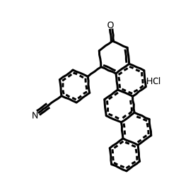 Cl.N#Cc1ccc(C2=c3c(ccc4c3ccc3c5ccccc5ccc43)=CC(=O)C2)cc1